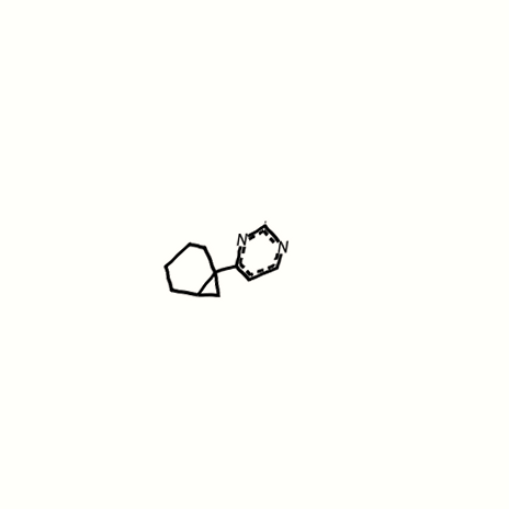 [c]1nccc(C23CCCCC2C3)n1